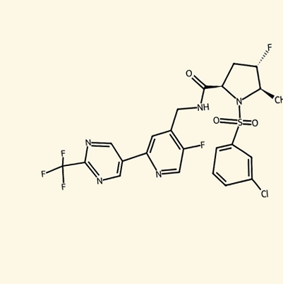 C[C@@H]1[C@@H](F)C[C@H](C(=O)NCc2cc(-c3cnc(C(F)(F)F)nc3)ncc2F)N1S(=O)(=O)c1cccc(Cl)c1